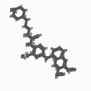 COc1cc2ncnc(Oc3ccc(NC(=O)NCCCC4CCNCC4)c([N+](=O)[O-])c3)c2cc1OC